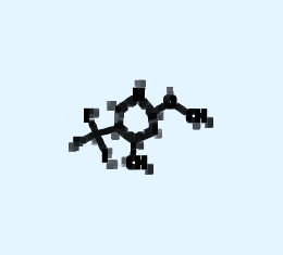 COc1cc(C)c(C(F)(F)F)cn1